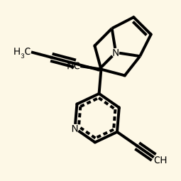 C#Cc1cncc(C2(C#N)CC3C=CC(C2)N3CC#CC)c1